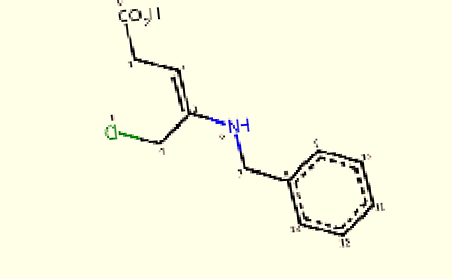 O=C(O)CC=C(CCl)NCc1ccccc1